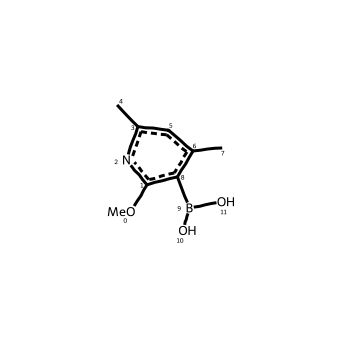 COc1nc(C)cc(C)c1B(O)O